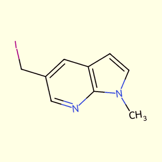 Cn1ccc2cc(CI)cnc21